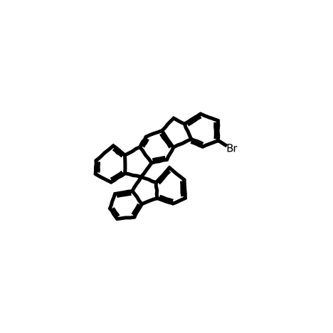 Brc1ccc2c(c1)-c1cc3c(cc1C2)-c1ccccc1C31c2ccccc2-c2ccccc21